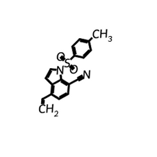 C=Cc1ccc(C#N)c2c1ccn2S(=O)(=O)c1ccc(C)cc1